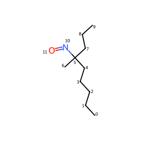 CCCCCC(C)(CCC)N=O